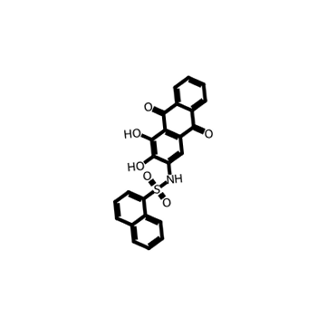 O=C1c2ccccc2C(=O)c2c1cc(NS(=O)(=O)c1cccc3ccccc13)c(O)c2O